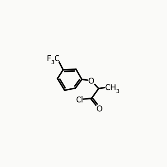 CC(Oc1cccc(C(F)(F)F)c1)C(=O)Cl